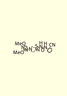 COc1cc(N2CCc3nc(NC(=O)Nc4ccccc4C#N)sc3C2)nc(OC)n1